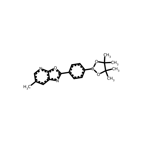 Cc1cnc2oc(-c3ccc(B4OC(C)(C)C(C)(C)O4)cc3)nc2c1